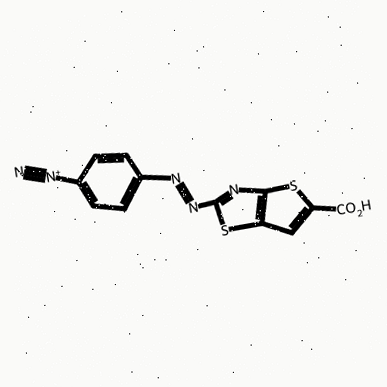 N#[N+]c1ccc(N=Nc2nc3sc(C(=O)O)cc3s2)cc1